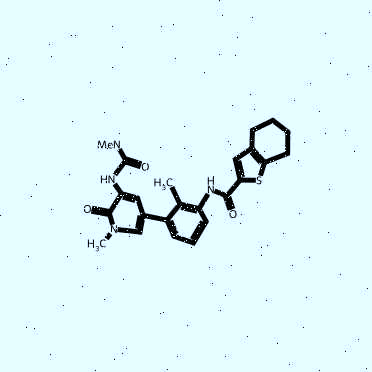 CNC(=O)Nc1cc(-c2cccc(NC(=O)c3cc4c(s3)CCCC4)c2C)cn(C)c1=O